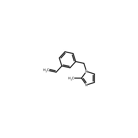 C=Cc1cccc(Cn2ccnc2C)c1